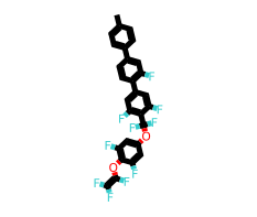 Cc1ccc(-c2ccc(-c3cc(F)c(C(F)(F)Oc4cc(F)c(OC(F)=C(F)F)c(F)c4)c(F)c3)c(F)c2)cc1